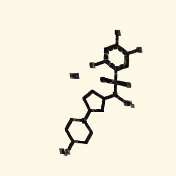 CC1CCN(C2CCC(N(C)S(=O)(=O)c3cc(Cl)c(Cl)cc3Cl)C2)CC1.Cl